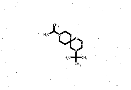 CC(C)N1CCC2(CC1)CN(C(C)(C)C)CCO2